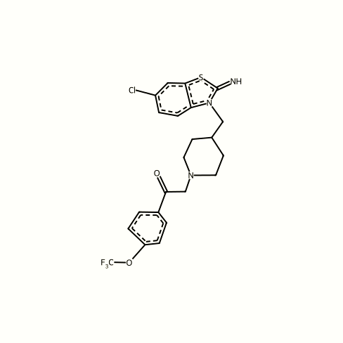 N=c1sc2cc(Cl)ccc2n1CC1CCN(CC(=O)c2ccc(OC(F)(F)F)cc2)CC1